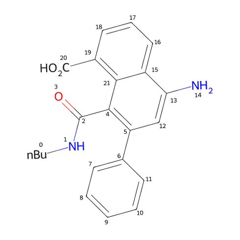 CCCCNC(=O)c1c(-c2ccccc2)cc(N)c2cccc(C(=O)O)c12